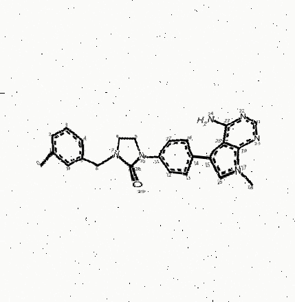 Cc1cccc(CN2CCN(c3ccc(-c4cn(C)c5ncnc(N)c45)cc3)C2=O)c1